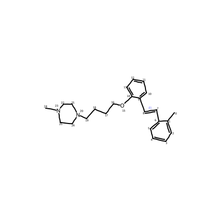 Cc1ccccc1/C=C/c1ccccc1OCCCCN1CCN(C)CC1